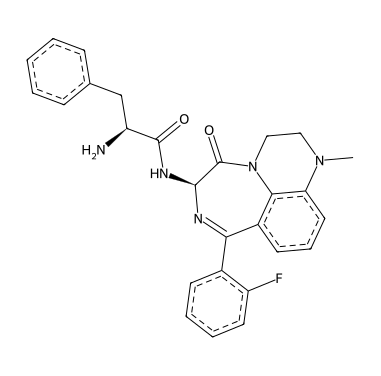 CN1CCN2C(=O)[C@H](NC(=O)[C@@H](N)Cc3ccccc3)N=C(c3ccccc3F)c3cccc1c32